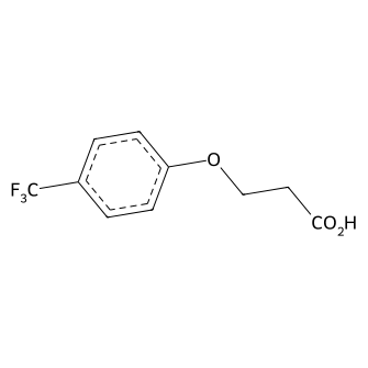 O=C(O)CCOc1ccc(C(F)(F)F)cc1